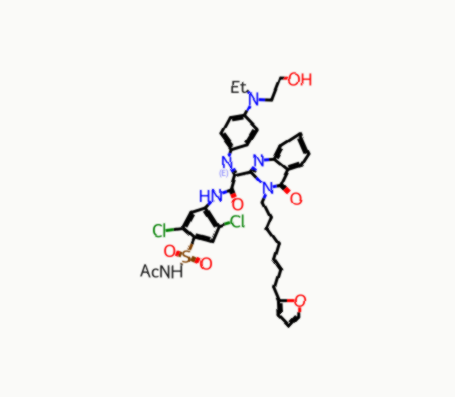 CCN(CCO)c1ccc(/N=C(/C(=O)Nc2cc(Cl)c(S(=O)(=O)NC(C)=O)cc2Cl)c2nc3ccccc3c(=O)n2CCCCCCCc2ccco2)cc1